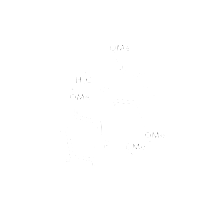 COc1ccc(OC)c(-c2c(OC)cccc2OC)c1C